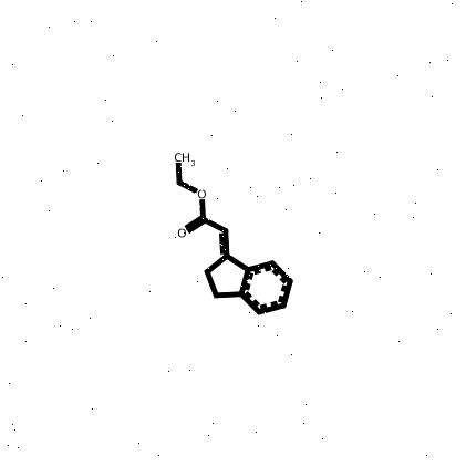 CCOC(=O)C=C1CCc2ccccc21